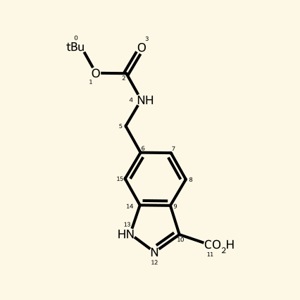 CC(C)(C)OC(=O)NCc1ccc2c(C(=O)O)n[nH]c2c1